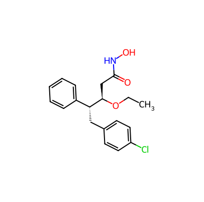 CCO[C@H](CC(=O)NO)[C@H](Cc1ccc(Cl)cc1)c1ccccc1